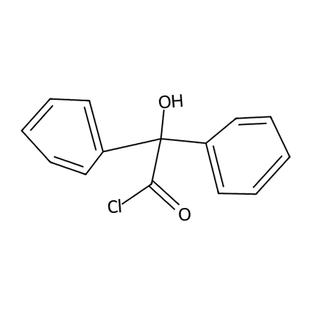 O=C(Cl)C(O)(c1ccccc1)c1ccccc1